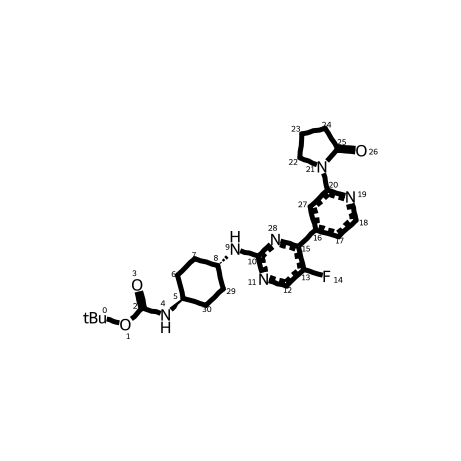 CC(C)(C)OC(=O)N[C@H]1CC[C@H](Nc2ncc(F)c(-c3ccnc(N4CCCC4=O)c3)n2)CC1